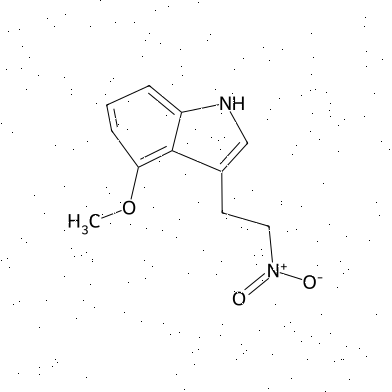 COc1cccc2[nH]cc(CC[N+](=O)[O-])c12